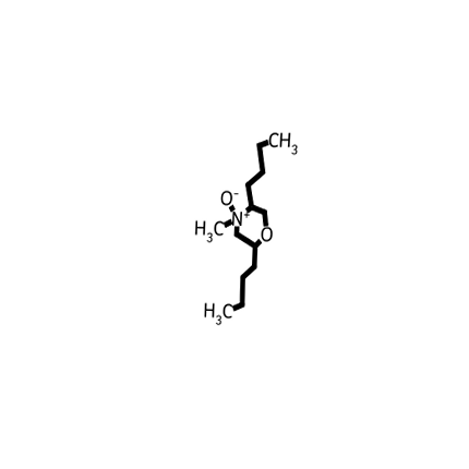 CCCCC1C[N+](C)([O-])C(CCCC)CO1